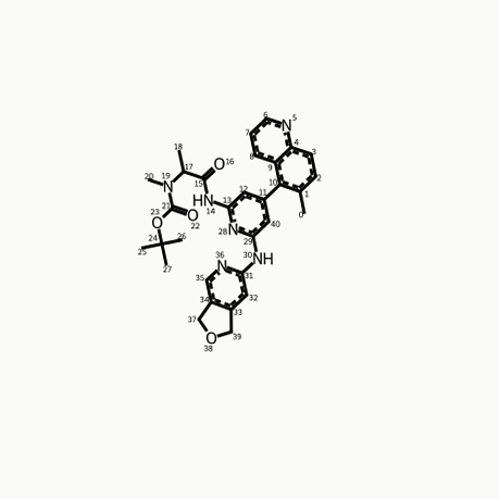 Cc1ccc2ncccc2c1-c1cc(NC(=O)C(C)N(C)C(=O)OC(C)(C)C)nc(Nc2cc3c(cn2)COC3)c1